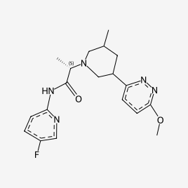 COc1ccc(C2CC(C)CN([C@@H](C)C(=O)Nc3ccc(F)cn3)C2)nn1